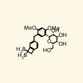 BC1(B)Cc2ccc(Cc3cc([C@@H]4O[C@H](CO)[C@@H](O)[C@H](O)[C@H]4O)c(OC)cc3OC)cc21